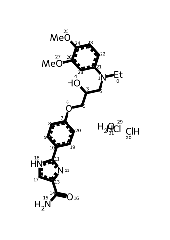 CCN(CC(O)COc1ccc(-c2nc(C(N)=O)c[nH]2)cc1)c1ccc(OC)c(OC)c1.Cl.Cl.O